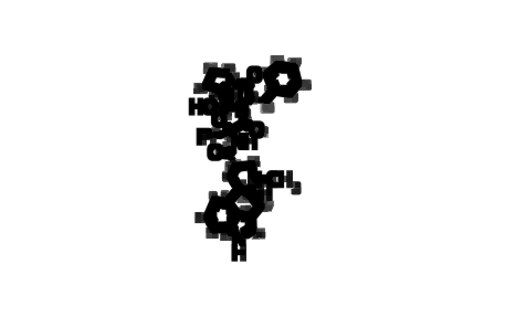 CC(C)[C@@]1(NC(=O)[C@H]2CC3c4cccc5[nH]cc(c45)C[C@@H]3N(C)C2)O[C@@]2(O)[C@@H]3CCCN3C(=O)[C@H](Cc3ccccc3)N2C1=O